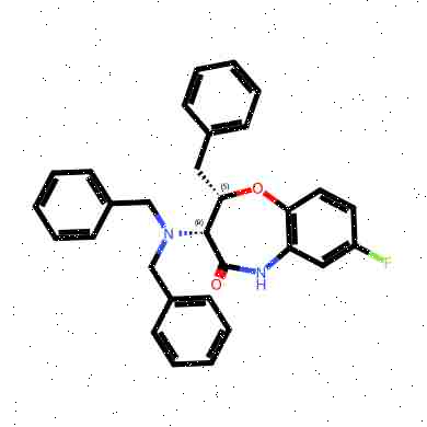 O=C1Nc2cc(F)ccc2O[C@@H](Cc2ccccc2)[C@H]1N(Cc1ccccc1)Cc1ccccc1